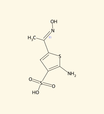 C/C(=N\O)c1cc(S(=O)(=O)O)c(N)s1